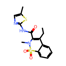 CCC1=C(C(=O)Nc2ncc(C)s2)N(C)S(=O)(=O)c2ccccc21